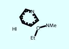 CCONC.I.c1ccncc1